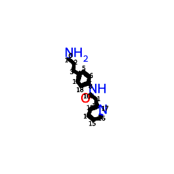 NCCCc1ccc(NC(=O)Cc2ccccn2)cc1